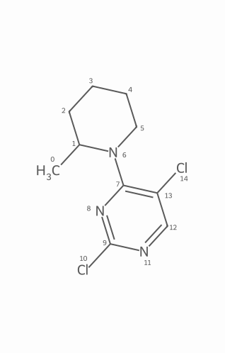 CC1CCCCN1c1nc(Cl)ncc1Cl